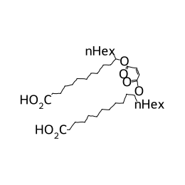 CCCCCCC(CCCCCCCCCCC(=O)O)OC(=O)/C=C\C(=O)OC(CCCCCC)CCCCCCCCCCC(=O)O